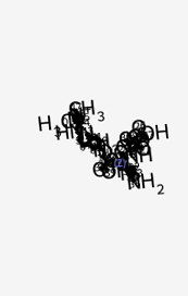 Cn1c(Nc2ccc3cc(OC[C@H](O/N=C(\C(=O)N[C@@H]4C(=O)N(OS(=O)(=O)O)C4(C)C)c4csc(N)n4)C(=O)O)ccc3n2)cc[n+]1C